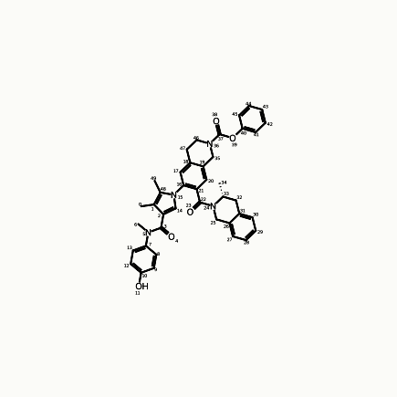 Cc1c(C(=O)N(C)c2ccc(O)cc2)cn(-c2cc3c(cc2C(=O)N2Cc4ccccc4C[C@H]2C)CN(C(=O)Oc2ccccc2)CC3)c1C